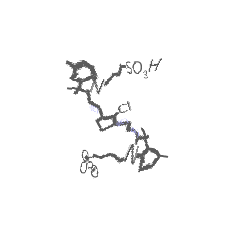 Cc1ccc2c(c1)C(C)(C)C(/C=C/C1=C(Cl)C(=C/C=C3/N(CCCCS(=O)(=O)[O-])c4ccc(C)cc4C3(C)C)/CC1)=[N+]2CCCCS(=O)(=O)O